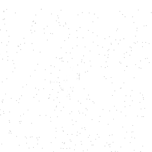 CCCCCCCCOC(=O)N(CCCCCC)C(=O)O.CCCCCCCCOC(=O)NCCCCCC